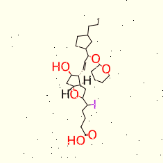 CCCC1CCC([C@@H](/C=C/[C@@H]2[C@H]3CC(C(I)CCCC(=O)O)O[C@@H]3C[C@H]2O)OC2CCCCO2)C1